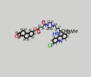 COc1ccc2nc3cc(Cl)ccc3c(NC(C)CCCN3CCN(C(=O)CCC(=O)Oc4ccc5ccc6c7cocc7ccc6c5c4)CC3)c2c1